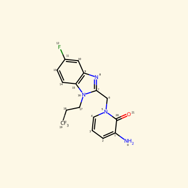 Nc1cccn(Cc2nc3cc(F)ccc3n2CCC(F)(F)F)c1=O